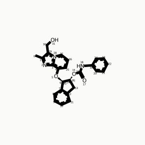 Cc1nc2c(O[C@@H]3c4ccccc4C[C@H]3OC(=O)Nc3ccccc3)cccn2c1CO